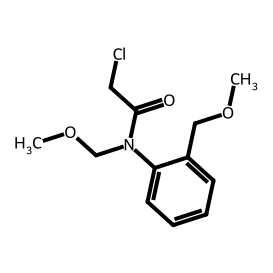 COCc1ccccc1N(COC)C(=O)CCl